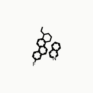 CCC1CCCc2c1ccc1c2ccc2cc(F)ccc21.c1ccc2cnccc2c1